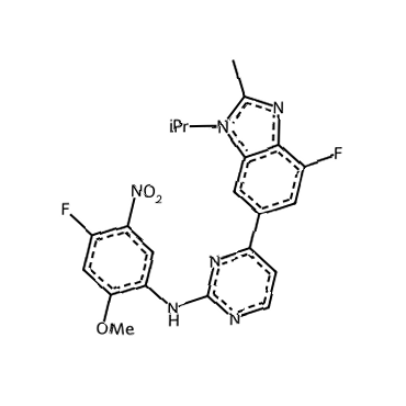 COc1cc(F)c([N+](=O)[O-])cc1Nc1nccc(-c2cc(F)c3nc(C)n(C(C)C)c3c2)n1